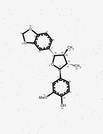 COc1cc([C@H]2O[C@H](c3ccc4c(c3)OCO4)[C@@H](C)[C@@H]2C)ccc1O